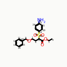 CCOC(=O)C(CCOCc1ccccc1)S(=O)(=O)c1ccc(N)cc1